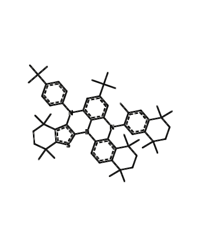 Cc1cc2c(cc1N1c3cc(C(C)(C)C)cc4c3B(c3ccc5c(c31)C(C)(C)CCC5(C)C)c1sc3c(c1N4c1ccc(C(C)(C)C)cc1)C(C)(C)CCC3(C)C)C(C)(C)CCC2(C)C